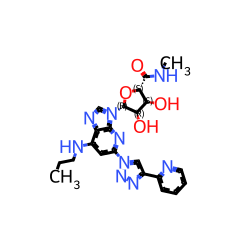 CCCNc1cc(-n2cc(-c3ccccn3)nn2)nc2c1ncn2[C@@H]1O[C@H](C(=O)NC)[C@@H](O)[C@H]1O